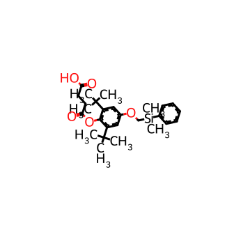 CC(C)(C)c1cc(OC[Si](C)(C)c2ccccc2)cc(C(C)(C)C)c1OC(=O)CCC(=O)O